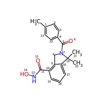 Cc1ccc(C(=O)N2Cc3c(C(=O)NO)cccc3C2(C)C)cc1